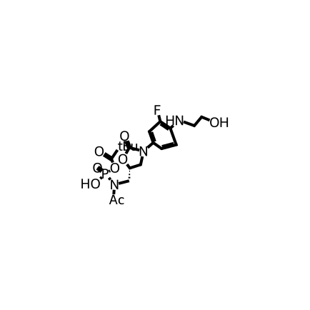 CC(=O)N(C[C@H]1CN(c2ccc(NCCO)c(F)c2)C(=O)O1)P(=O)(O)OC(=O)C(C)(C)C